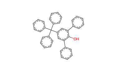 Oc1c(-c2ccccc2)cc(C(c2ccccc2)(c2ccccc2)c2ccccc2)cc1-c1ccccc1